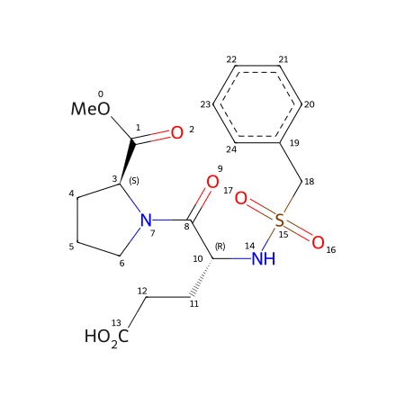 COC(=O)[C@@H]1CCCN1C(=O)[C@@H](CCC(=O)O)NS(=O)(=O)Cc1ccccc1